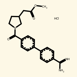 COC(=O)CC1CCN(C(=O)c2ccc(-c3ccc(C(=N)N)cc3)cc2)C1.Cl